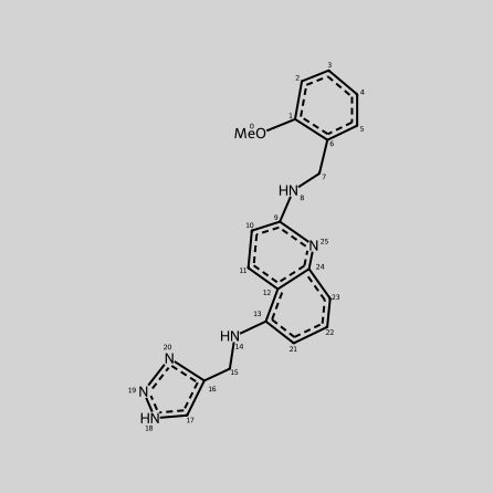 COc1ccccc1CNc1ccc2c(NCc3c[nH]nn3)cccc2n1